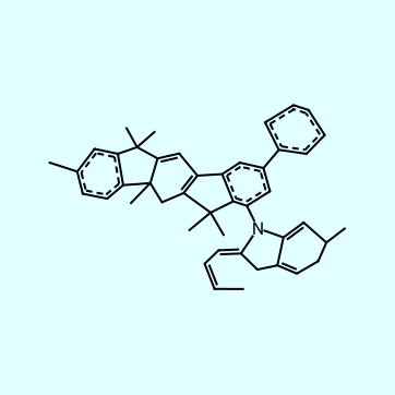 C/C=C\C=C1/CC2=CCC(C)C=C2N1c1cc(-c2ccccc2)cc2c1C(C)(C)C1=C2C=C2C(C)(C)c3cc(C)ccc3C2(C)C1